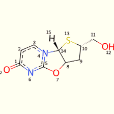 O=c1ccn2c(n1)OC1C[C@@H](CO)S[C@H]12